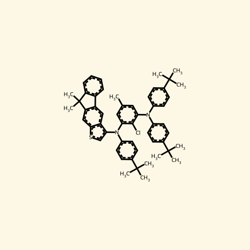 Cc1cc(N(c2ccc(C(C)(C)C)cc2)c2ccc(C(C)(C)C)cc2)c(Cl)c(N(c2ccc(C(C)(C)C)cc2)c2csc3cc4c(cc23)-c2ccccc2C4(C)C)c1